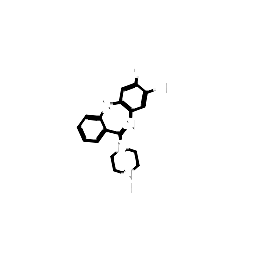 FC(F)(F)c1cc2c(cc1Cl)Nc1ccccc1C(N1CCNCC1)=N2